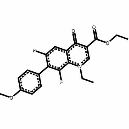 CCOC(=O)c1cn(CC)c2c(F)c(-c3ccc(OC)cc3)c(F)cc2c1=O